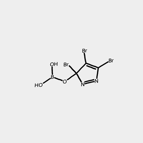 OB(O)OC1(Br)N=NC(Br)=C1Br